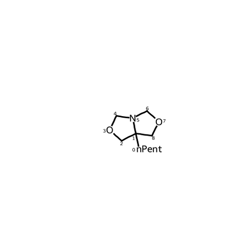 CCCCCC12COCN1COC2